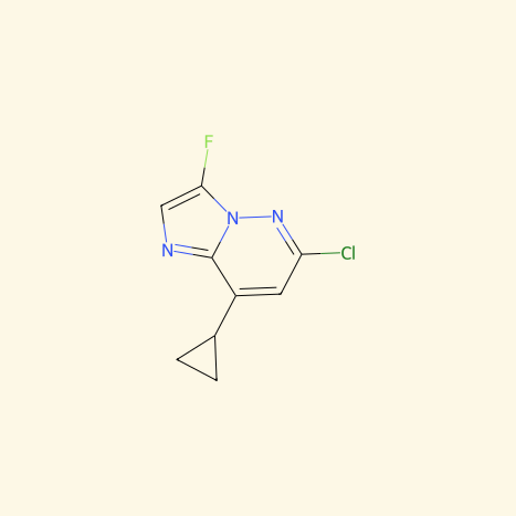 Fc1cnc2c(C3CC3)cc(Cl)nn12